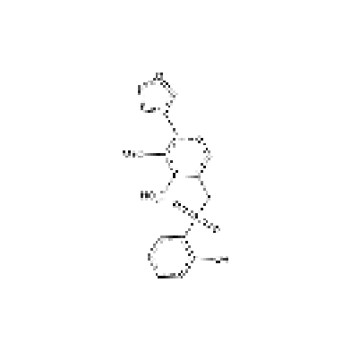 COc1c(-c2ccoc2)ccc(CS(=O)(=O)c2ccccc2O)c1C(=O)O